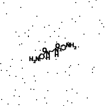 CC1(N)C=CC(C(=O)NCCCNC(=O)C2(C)C=CC(N)=CC2)=CC1